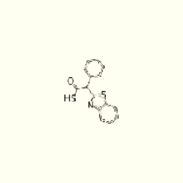 O=C(S)C(c1ccccc1)c1nc2ccccc2s1